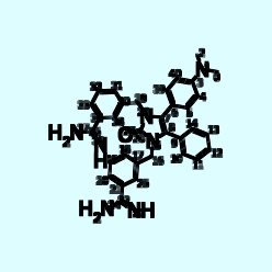 CN(C)c1ccc(-c2c(-c3ccccc3)n(Cc3cccc(C(=N)N)c3)c(=O)n2Cc2cccc(C(=N)N)c2)cc1